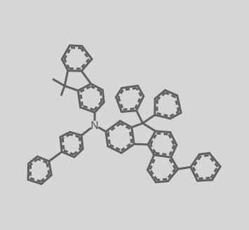 CC1(C)c2ccccc2-c2ccc(N(c3ccc(-c4ccccc4)cc3)c3ccc4c(c3)C(c3ccccc3)(c3ccccc3)c3ccc5c(-c6ccccc6)cccc5c3-4)cc21